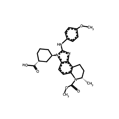 COC(=O)N1c2ccc3c(nc(Nc4ccc(OC)cc4)n3[C@@H]3CCC[C@@H](C(=O)O)C3)c2CC[C@@H]1C